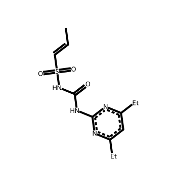 CC=CS(=O)(=O)NC(=O)Nc1nc(CC)cc(CC)n1